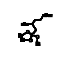 CCCCCCCCCCCCC(CCCC)CS(OCC)(OCC)OCC